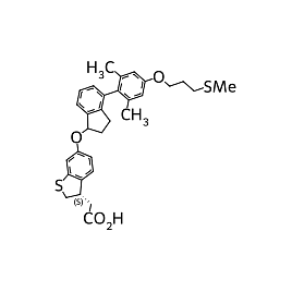 CSCCCOc1cc(C)c(-c2cccc3c2CCC3Oc2ccc3c(c2)SC[C@H]3CC(=O)O)c(C)c1